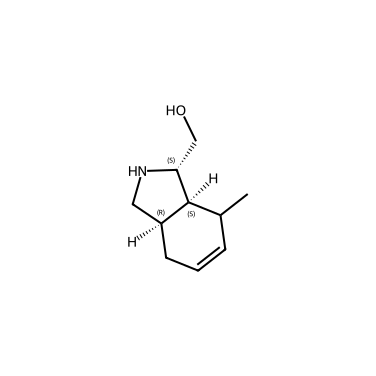 CC1C=CC[C@H]2CN[C@H](CO)[C@@H]12